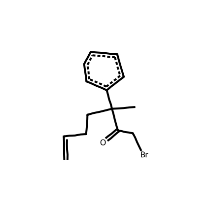 C=CCCC(C)(C(=O)CBr)c1ccccc1